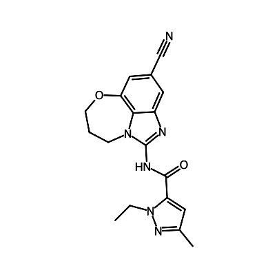 CCn1nc(C)cc1C(=O)Nc1nc2cc(C#N)cc3c2n1CCCO3